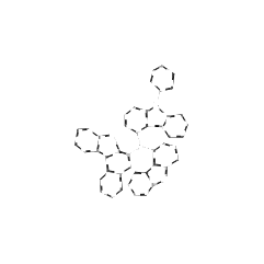 c1ccc(-n2c3ccccc3c3c(N(c4cc5ccccc5c5c4sc4ccccc45)c4cccc5oc6ccccc6c45)cccc32)cc1